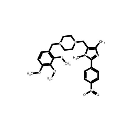 COc1ccc(CN2CCN(Cc3c(C)nc(-c4ccc([N+](=O)[O-])cc4)n3C)CC2)c(OC)c1OC